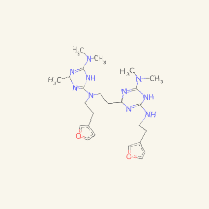 CC1N=C(N(C)C)NC(N(CCc2ccoc2)CCC2N=C(NCCc3ccoc3)NC(N(C)C)=N2)=N1